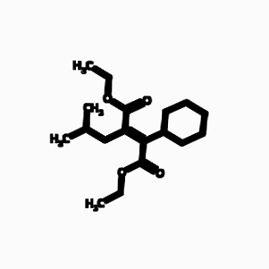 CCOC(=O)C(CC(C)C)=C(C(=O)OCC)C1CCCCC1